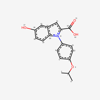 CC(C)Oc1ccc(-n2c(C(=O)O)cc3cc(O)ccc32)cc1